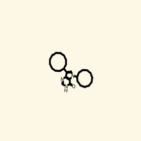 O=c1[nH]cnc2c(C3CCCCCCCCCCC3)cn(C3CCCCCCCCCC3)c12